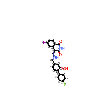 O=C1NC(=O)c2ccc(I)cc2/C1=C/NCc1ccc(-c2ccc(F)cc2)c(O)c1